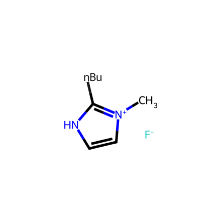 CCCCc1[nH]cc[n+]1C.[F-]